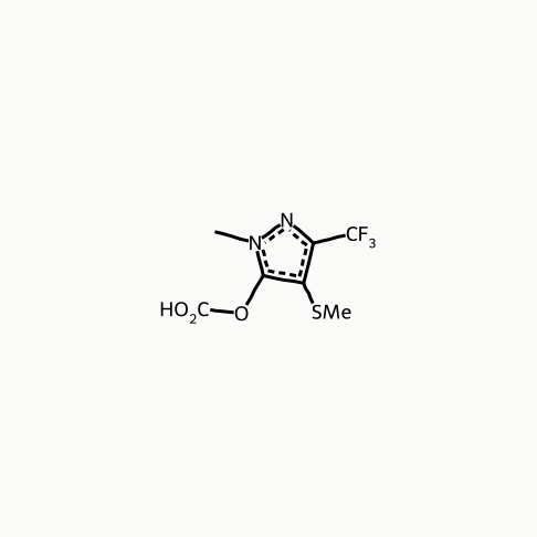 CSc1c(C(F)(F)F)nn(C)c1OC(=O)O